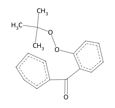 CC(C)(C)OOc1ccccc1C(=O)c1ccccc1